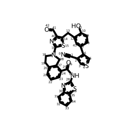 N#Cc1cscc1-c1ccc(O)c(Cc2sc(N3CCc4cccc(C(=O)Nc5nc6ccccc6s5)c4C3)nc2C=O)c1